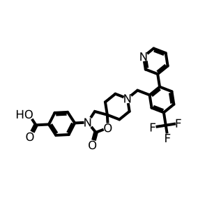 O=C(O)c1ccc(N2CC3(CCN(Cc4cc(C(F)(F)F)ccc4-c4cccnc4)CC3)OC2=O)cc1